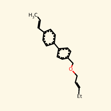 CC=Cc1ccc(-c2ccc(COCC=CCC)cc2)cc1